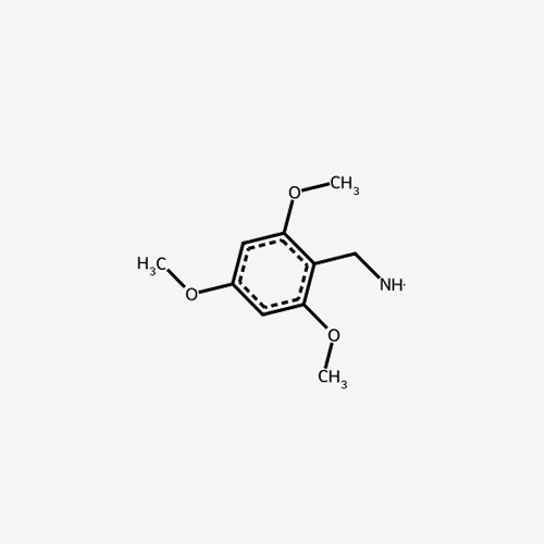 COc1cc(OC)c(C[NH])c(OC)c1